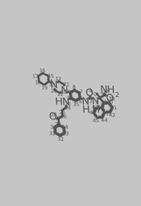 CC(NC(=O)Nc1ccc(N2CCN(C3CCCCC3)CC2)c(NCCCC(=O)c2ccccc2)c1)(C(N)=O)c1cccc2ccccc12